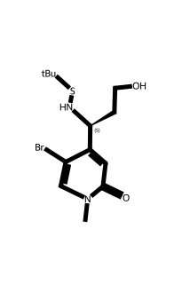 Cn1cc(Br)c([C@H](CCO)NSC(C)(C)C)cc1=O